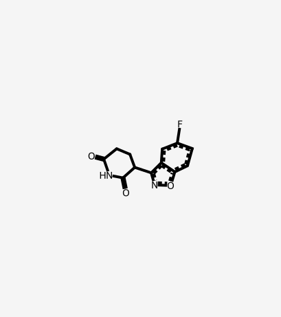 O=C1CCC(c2noc3ccc(F)cc23)C(=O)N1